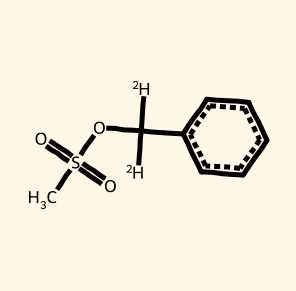 [2H]C([2H])(OS(C)(=O)=O)c1ccccc1